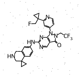 O=c1c2cnc(Nc3ccc4c(c3)CNCC43CC3)nc2n(-c2ccnc(C3(CF)CC3)c2)n1CC(F)(F)F